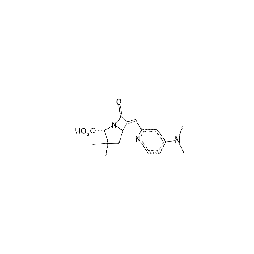 CN(C)c1ccnc(/C=C2/C(=O)N3C2CC(C)(C)[C@@H]3C(=O)O)c1